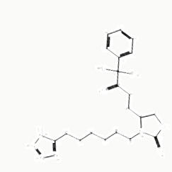 O=C1OCC(CCC(=O)C(F)(F)c2ccccc2)N1CCCCCCc1nnn[nH]1